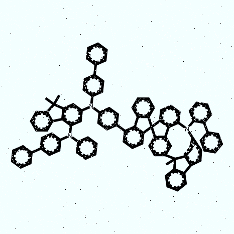 CC1(C)c2ccccc2-c2c(N(c3ccccc3)c3ccc(-c4ccccc4)cc3)cc(N(c3ccc(-c4ccccc4)cc3)c3ccc(-c4cccc5c4-c4ccccc4C54c5ccc6cc5-c5c(cccc54)N(c4ccccc4-c4ccccc4)c4ccc5c(c4)C6(C)c4ccccc4-5)cc3)cc21